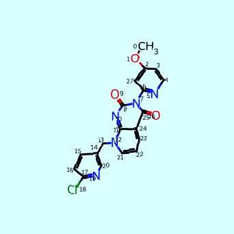 COc1ccnc(-n2c(=O)nc3n(Cc4ccc(Cl)nc4)cccc-3c2=O)c1